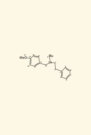 CCC(C)N(CCc1ccccc1)Cc1ccc(OC)cc1